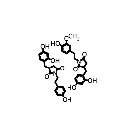 COc1cc(CCN2C(=O)CC(Cc3ccc(O)cc3O)C2=O)ccc1O.O=C1CC(Cc2ccc(O)cc2O)C(=O)N1CCc1ccc(O)cc1